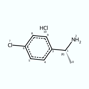 C[C@@H](N)c1ccc(Cl)cc1.Cl